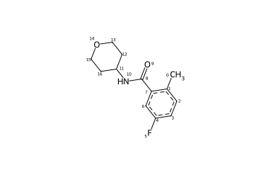 Cc1ccc(F)cc1C(=O)NC1CCOCC1